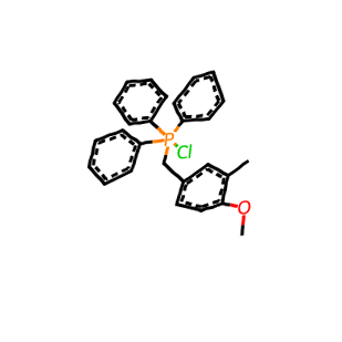 COc1ccc(CP(Cl)(c2ccccc2)(c2ccccc2)c2ccccc2)cc1C